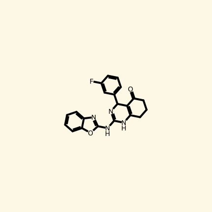 O=C1CCCC2=C1C(c1cccc(F)c1)N=C(Nc1nc3ccccc3o1)N2